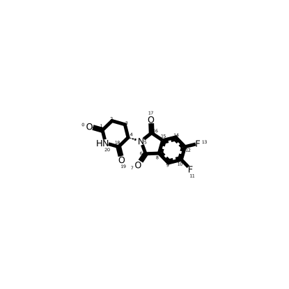 O=C1CC[C@H](N2C(=O)c3cc(F)c(F)cc3C2=O)C(=O)N1